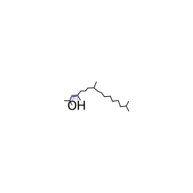 C/C(=C\C(C)O)CCCC(C)CCCCCCCC(C)C